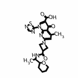 Cc1cc(N2CC(C(=O)NC(C)C3CCCCO3)C2)nc2c1c(=O)c(C(=O)O)cn2-c1ncns1